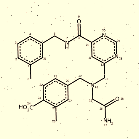 Cc1cccc(CNC(=O)c2cc(CN(CC(N)=O)Cc3ccc(C(=O)O)c(C)c3)ncn2)c1